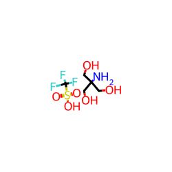 NC(CO)(CO)CO.O=S(=O)(O)C(F)(F)F